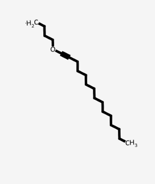 [CH2]CCCOC#CCCCCCCCCCCCCC